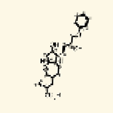 CCCC(CC1CC[C@@H]2[C@@H](C=C[C@@H](O)COc3ccccc3)[C@H](O)C[C@@H]2OC1)C(=O)O